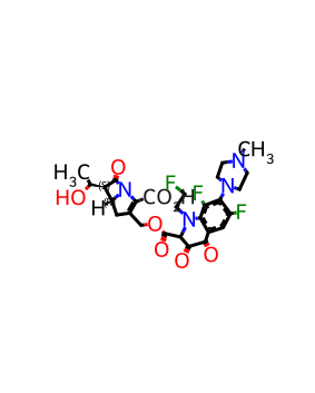 CC(O)[C@H]1C(=O)N2C(C(=O)O)=C(COC(=O)C3C(=O)C(=O)c4cc(F)c(N5CCN(C)CC5)c(F)c4N3CCF)C[C@H]12